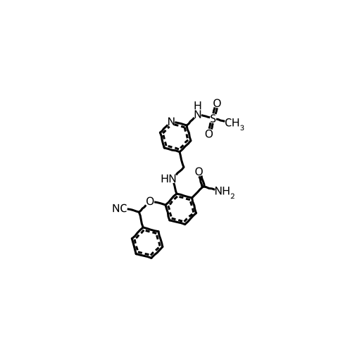 CS(=O)(=O)Nc1cc(CNc2c(OC(C#N)c3ccccc3)cccc2C(N)=O)ccn1